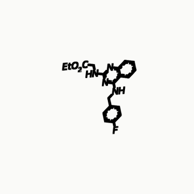 CCOC(=O)CNc1nc(NCc2ccc(F)cc2)c2ccccc2n1